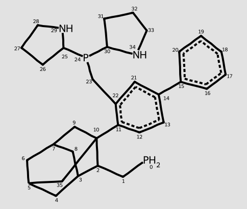 PCC1C2CC3CC(C2)CC1(c1ccc(-c2ccccc2)cc1CP(C1CCCN1)C1CCCN1)C3